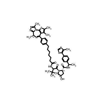 Cc1ncsc1-c1ccc(C(C)NC(=O)[C@@H]2C[C@@H](O)CN2C(=O)C(NC(=O)CCCCCCc2ccc(C3=N[C@@H](C)c4nnc(C)n4-c4sc(C)c(C)c43)cc2)C(C)(C)C)cc1